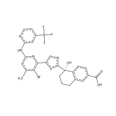 Cc1cc(Nc2cc(C(F)(F)F)ccn2)nc(-c2cnc([C@]3(O)CCCc4cc(C(=O)O)ccc43)s2)c1Br